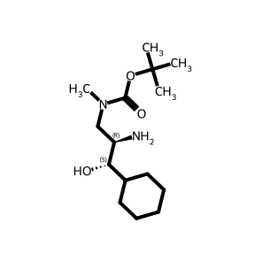 CN(C[C@@H](N)[C@@H](O)C1CCCCC1)C(=O)OC(C)(C)C